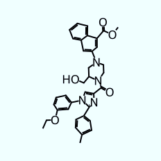 CCOc1cccc(-n2cc(C(=O)N3CCN(c4cc(C(=O)OC)c5ccccc5c4)CC3CO)nc2-c2ccc(C)cc2)c1